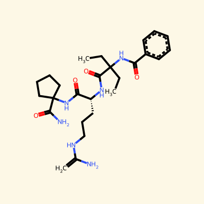 C=C(N)NCCC[C@@H](NC(=O)C(CC)(CC)NC(=O)c1ccccc1)C(=O)NC1(C(N)=O)CCCC1